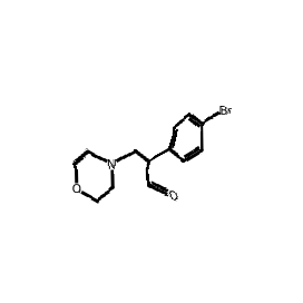 O=CC(CN1CCOCC1)c1ccc(Br)cc1